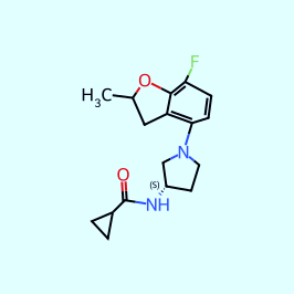 CC1Cc2c(N3CC[C@H](NC(=O)C4CC4)C3)ccc(F)c2O1